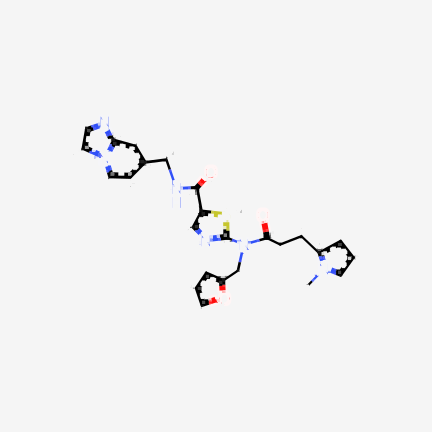 Cn1cccc1CCC(=O)N(Cc1ccco1)c1ncc(C(=O)NCc2ccn3ccnc3c2)s1